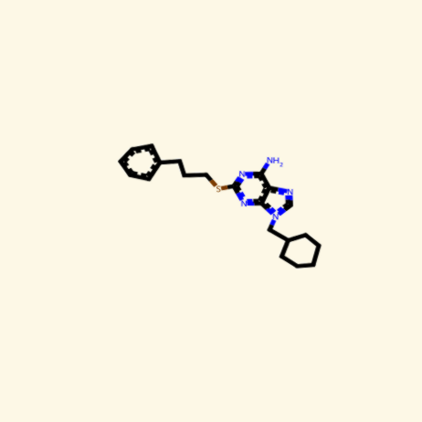 Nc1nc(SCCCc2ccccc2)nc2c1ncn2CC1CCCCC1